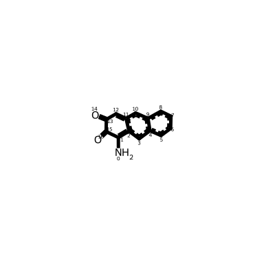 NC1=c2cc3ccccc3cc2=CC(=O)C1=O